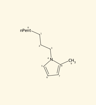 CCCCCCCCn1cccc1C